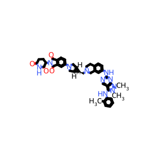 Cc1cccc(C)c1Nc1nn(C)c2nc(Nc3ccc4c(c3)CN(C[C@H]3[C@H]5CN(c6ccc7c(c6)C(=O)N(C6CCC(=O)NC6=O)C7=O)C[C@@H]35)CC4)ncc12